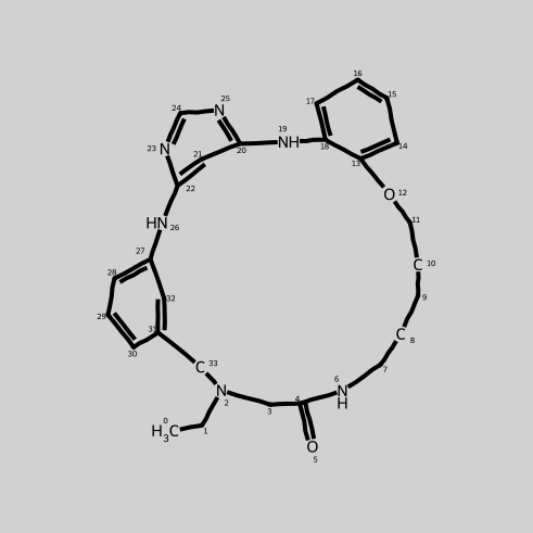 CCN1CC(=O)NCCCCCOc2ccccc2Nc2cc(ncn2)Nc2cccc(c2)C1